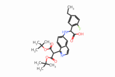 CCc1ccc(F)c(C(Nc2ccc3c(C(C(=O)OC(C)(C)C)C(=O)OC(C)(C)C)nccc3c2)C(=O)O)c1